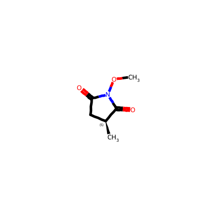 CON1C(=O)C[C@H](C)C1=O